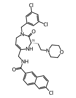 O=C(NCC1=CCN(Cc2cc(Cl)cc(Cl)c2)C(=O)[C@H](CCN2CCOCC2)N1)c1ccc2cc(Cl)ccc2c1